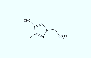 CCOC(=O)Cn1cc(C=O)c(C)n1